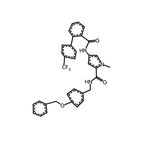 Cn1cc(NC(=O)c2ccccc2-c2ccc(C(F)(F)F)cc2)cc1C(=O)NCc1ccc(OCc2ccccc2)cc1